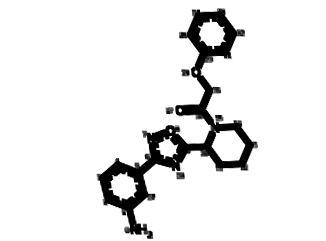 Nc1cccc(-c2noc(C3CCCCN3C(=O)COc3ccccc3)n2)c1